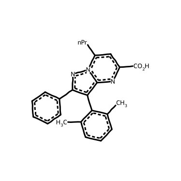 CCCc1cc(C(=O)O)nc2c(-c3c(C)cccc3C)c(-c3ccccc3)nn12